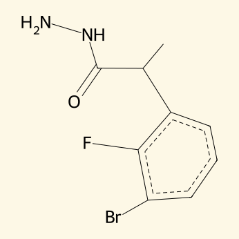 CC(C(=O)NN)c1cccc(Br)c1F